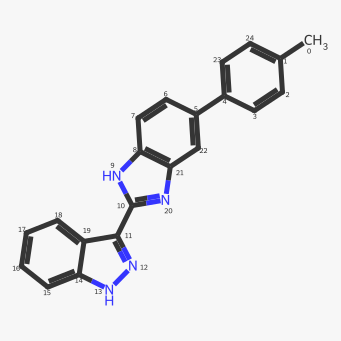 Cc1ccc(-c2ccc3[nH]c(-c4n[nH]c5ccccc45)nc3c2)cc1